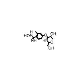 Cc1cc(O[C@H](NC(=O)CO)C(C)O)ccc1C(=N)NO